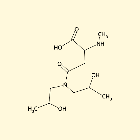 CNC(CC(=O)N(CC(C)O)CC(C)O)C(=O)O